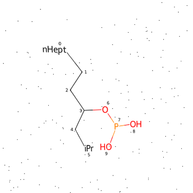 CCCCCCCCCC(CC(C)C)OP(O)O